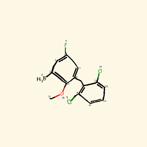 Bc1cc(F)cc(-c2c(Cl)cccc2Cl)c1OC